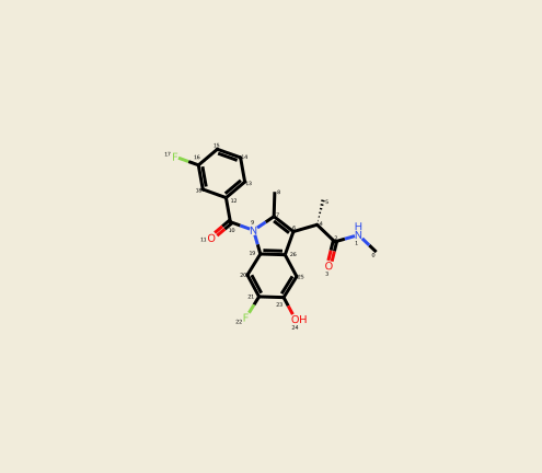 CNC(=O)[C@@H](C)c1c(C)n(C(=O)c2cccc(F)c2)c2cc(F)c(O)cc12